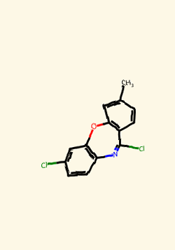 Cc1ccc2c(c1)Oc1cc(Cl)ccc1N=C2Cl